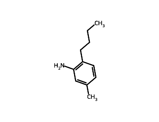 CCCCc1ccc(C)cc1N